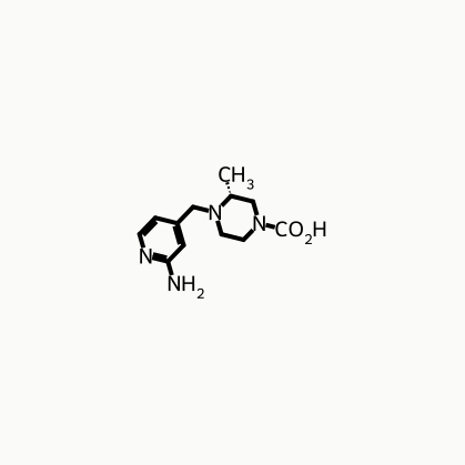 C[C@@H]1CN(C(=O)O)CCN1Cc1ccnc(N)c1